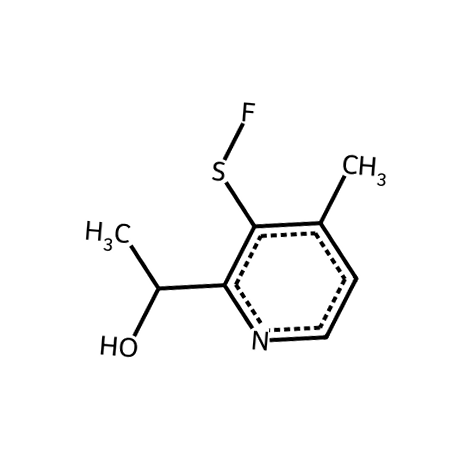 Cc1ccnc(C(C)O)c1SF